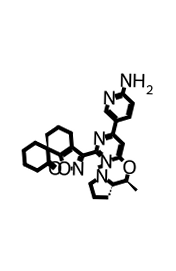 C[C@H](Oc1cc(-c2ccc(N)nc2)nc(-c2noc3c2CCC[C@@]32CCCCC2=O)n1)[C@@H]1CCCN1C